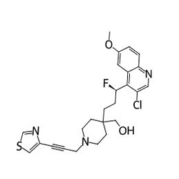 COc1ccc2ncc(Cl)c([C@H](F)CCC3(CO)CCN(CC#Cc4cscn4)CC3)c2c1